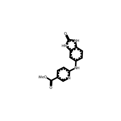 COC(=O)c1ccc(Nc2ccc3[nH]c(=O)[nH]c3c2)nc1